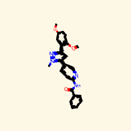 COc1ccc(OC)c(-c2cc(-c3ccc(NC(=O)c4ccccc4)nc3)n(C)n2)c1